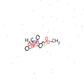 C=CCOC(=O)c1cc2cc(CP(=O)(N[C@@H](C)C(=O)OCc3ccccc3)Oc3ccccc3)ccc2s1